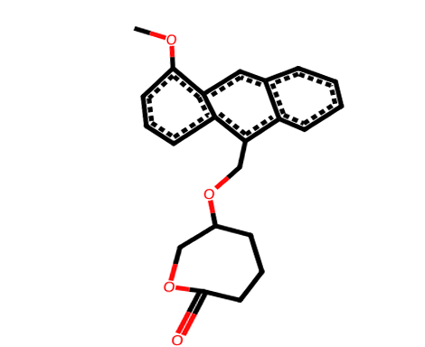 COc1cccc2c(COC3CCCC(=O)OC3)c3ccccc3cc12